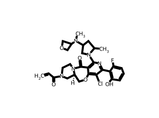 C=CC(=O)N1CCN2C(=O)c3c(N4CC(N(C)C5COC5)CC4C)nc(-c4c(O)cccc4F)c(Cl)c3OC[C@H]2C1